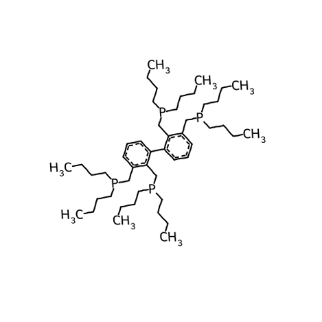 CCCCP(CCCC)Cc1cccc(-c2cccc(CP(CCCC)CCCC)c2CP(CCCC)CCCC)c1CP(CCCC)CCCC